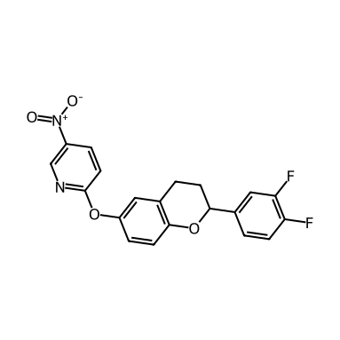 O=[N+]([O-])c1ccc(Oc2ccc3c(c2)CCC(c2ccc(F)c(F)c2)O3)nc1